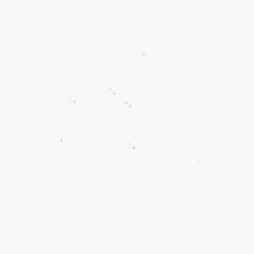 CCC#CCN1C2N=C(C(F)(F)F)N=C(C(F)(F)F)C2=C(N(C(=O)OCC(C)(C)C)C(=O)OC(C)(C)C)N1c1c(Cl)cc(C(F)(F)F)cc1Cl